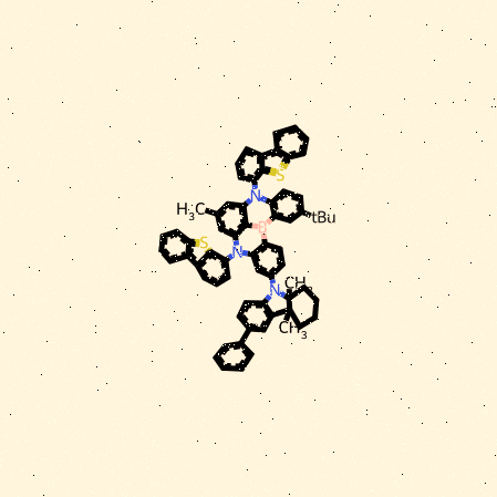 Cc1cc2c3c(c1)N(c1cccc4c1sc1ccccc14)c1cc(N4c5ccc(-c6ccccc6)cc5C5(C)CCCCC45C)ccc1B3c1cc(C(C)(C)C)ccc1N2c1cccc2c1sc1ccccc12